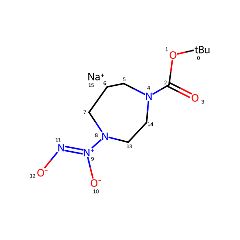 CC(C)(C)OC(=O)N1CCCN([N+]([O-])=N[O-])CC1.[Na+]